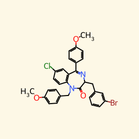 COc1ccc(CN2C(=O)C(Cc3cccc(Br)c3)N=C(c3ccc(OC)cc3)c3cc(Cl)ccc32)cc1